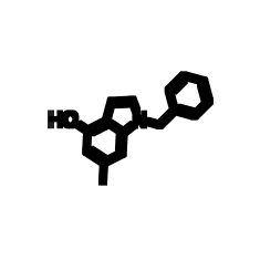 Cc1cc(O)c2ccn(Cc3ccccc3)c2c1